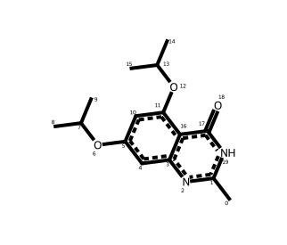 Cc1nc2cc(OC(C)C)cc(OC(C)C)c2c(=O)[nH]1